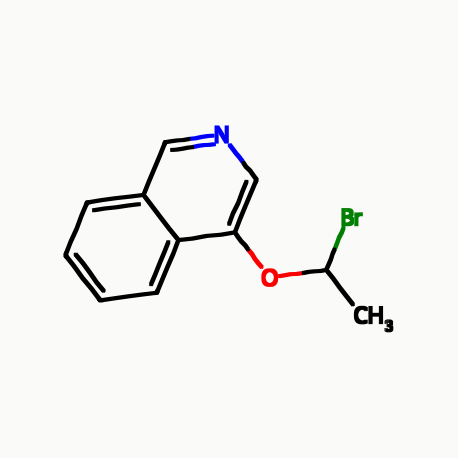 CC(Br)Oc1cncc2ccccc12